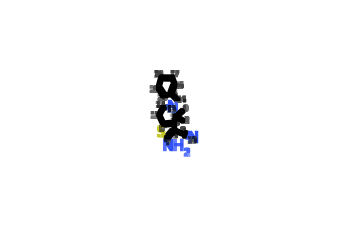 CC1(C)c2c(sc(N)c2C#N)CCN1Cc1ccccc1